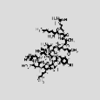 C[C@H](NC(=O)[C@H](CCCNC(=N)N)NC(=O)[C@@H](N)CCCCN)C(=O)N[C@@H](CCC(N)=O)C(=O)N[C@@H](CC(N)=O)C(=O)N[C@@H](Cc1c[nH]cn1)C(=O)N[C@@H](Cc1ccc(O)cc1)C(=O)N[C@@H](CS)C(=O)N[C@@H](CCCCN)C(=O)N[C@@H](CCC(=O)O)C(=O)N[C@@H](Cc1c[nH]cn1)C(=O)O